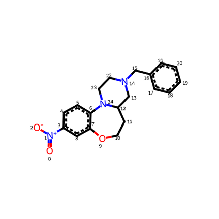 O=[N+]([O-])c1ccc2c(c1)OCCC1CN(Cc3ccccc3)CCN21